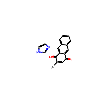 CC1=CC(=O)c2cc3ccccc3cc2C1=O.c1c[nH]cn1